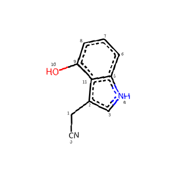 N#CCc1c[nH]c2cccc(O)c12